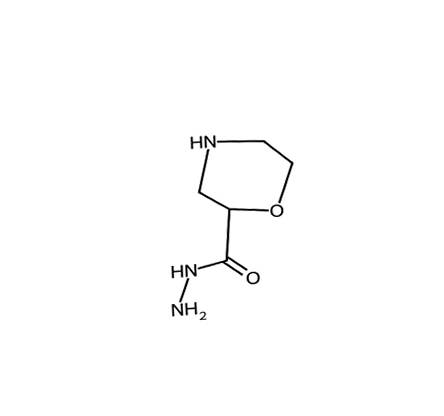 NNC(=O)C1CNCCO1